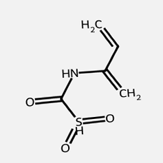 C=CC(=C)NC(=O)[SH](=O)=O